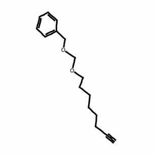 C#CCCCCCCOCOCc1ccccc1